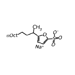 CCCCCCCCCCC(C)c1ccc(S(=O)(=O)[O-])o1.[Na+]